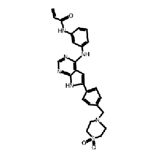 C=CC(=O)Nc1cccc(Nc2ncnc3[nH]c(-c4ccc(CN5CCS(=O)(=O)CC5)cc4)cc23)c1